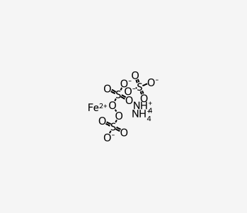 O=S(=O)([O-])OOS(=O)(=O)[O-].O=S(=O)([O-])[O-].[Fe+2].[NH4+].[NH4+]